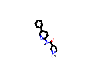 CN(C(=O)C1CCN(C#N)C1)c1ccc(-c2ccccc2)cn1